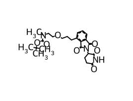 CN(CCOCCCc1cccc2c1C(=O)N(C1CCC(=O)NC1=O)C2=O)C(=O)OC(C)(C)C